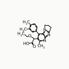 CCOC(C(=O)O)c1c(C)nc2nc3n(c2c1-c1ccc(C)c(C)c1)CCC3